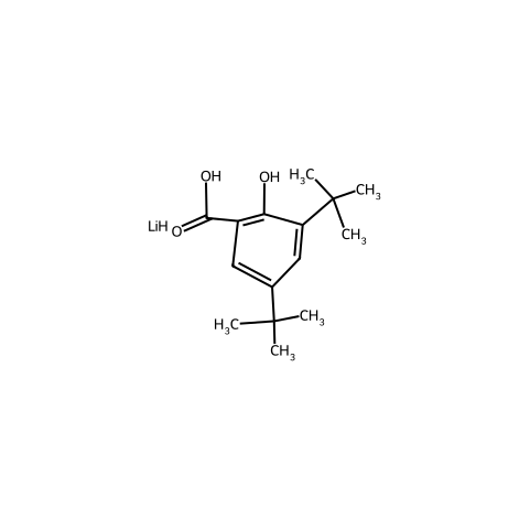 CC(C)(C)c1cc(C(=O)O)c(O)c(C(C)(C)C)c1.[LiH]